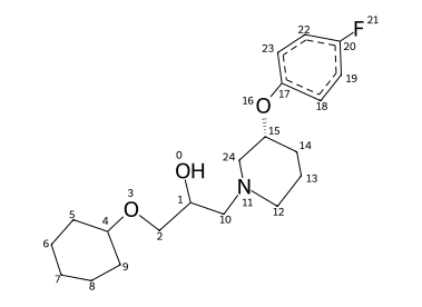 OC(COC1CCCCC1)CN1CCC[C@@H](Oc2ccc(F)cc2)C1